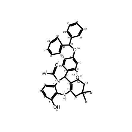 CC(C)C(=O)N1c2cccc(O)c2NC2=C(C(=O)CC(C)(C)C2)C1c1ccc(OC(c2ccccc2)c2ccccc2)cc1F